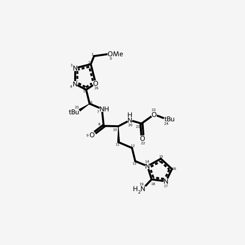 COCc1nnc([C@@H](NC(=O)[C@H](CCCn2ccnc2N)NC(=O)OC(C)(C)C)C(C)(C)C)o1